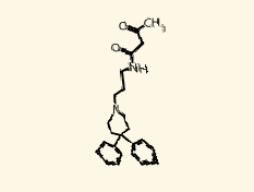 CC(=O)CC(=O)NCCCN1CCC(c2ccccc2)(c2ccccc2)CC1